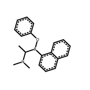 CC(B(Oc1ccccc1)c1cccc2ccccc12)N(C)C